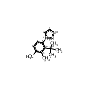 Cc1ccc(-n2ccnn2)c(C(C)(C)C)c1C